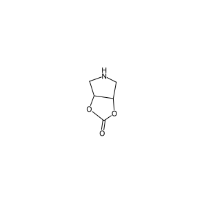 O=C1OC2CNCC2O1